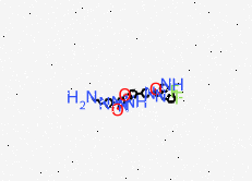 NCCCN1CCC(n2cc3c(nc2=O)Nc2cc(C4CCN(C(=O)CN(Cc5ccc(F)c(F)c5)C5CCNCC5)CC4)ccc2O3)CC1